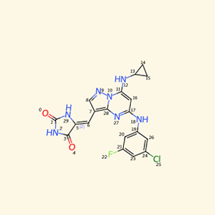 O=C1NC(=O)/C(=C/c2cnn3c(NC4CC4)cc(Nc4cc(F)cc(Cl)c4)nc23)N1